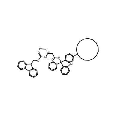 CC(C)C[C@H](CC(=O)OC(c1ccccc1)(c1ccc(C2CCCCCCCCCCCCCC2)cc1)c1ccccc1Cl)NC(=O)OCC1c2ccccc2-c2ccccc21